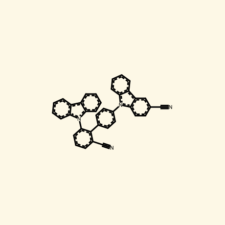 N#Cc1ccc2c(c1)c1ccccc1n2-c1ccc(-c2c(C#N)cccc2-n2c3ccccc3c3ccccc32)cc1